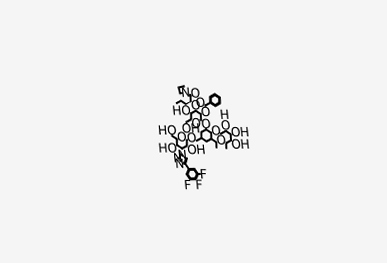 CCC[C@H](OC1C(OC(=O)c2ccccc2)[C@H](O[C@@H]2CC(CO[C@H]3OC(CO)[C@@H](O)C(n4cc(-c5cc(F)c(F)c(F)c5)nn4)C3O)CC(CC)C2O[C@@H]2OC(C)[C@@H](O)C(O)C2O)OC(CO)[C@@H]1O)C(=O)N1CCC1